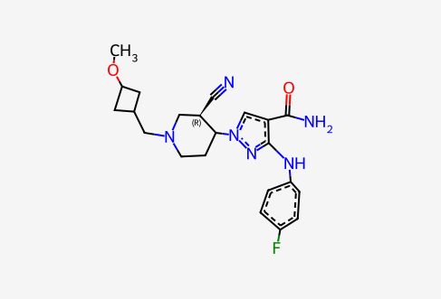 COC1CC(CN2CCC(n3cc(C(N)=O)c(Nc4ccc(F)cc4)n3)[C@H](C#N)C2)C1